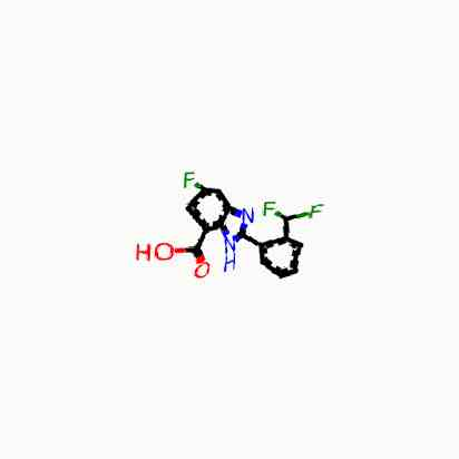 O=C(O)c1cc(F)cc2nc(-c3ccccc3C(F)F)[nH]c12